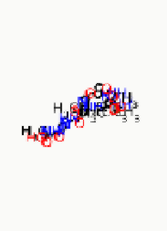 CN[C@@H](CCC(=O)N1CCN(CCNC(=O)c2ccc(Nc3cc(Oc4ccc(N(C(N)=O)c5cc(C(C)(C)C)cc(NS(C)(=O)=O)c5OC)c5ccccc45)ccn3)cc2OC)CC1)C(=O)O